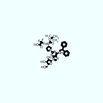 CC(C)(C)OC(=O)N[C@H]1CCN(c2nc(NCC(c3ccccc3)c3ccccc3)c3ncn([C@@H]4O[C@H](CO)[C@@H](O)[C@H]4O)c3n2)C1.O=C(O)C(F)(F)F